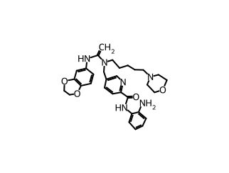 C=C(Nc1ccc2c(c1)OCCO2)N(CCCCCN1CCOCC1)Cc1ccc(C(=O)Nc2ccccc2N)nc1